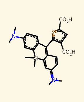 CN(C)c1ccc2c(c1)[Si](C)(C)C1=CC(=[N+](C)C)C=CC1=C2c1sc(C(=O)O)cc1C(=O)O